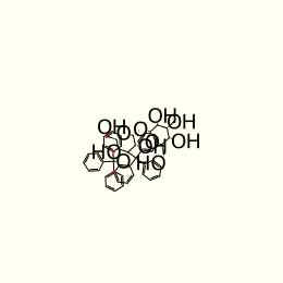 OC[C@H]1O[C@H](O[C@H]2O[C@H](CO)[C@@H](O)[C@@](OC(c3ccccc3)(c3ccccc3)c3ccccc3)(C(c3ccccc3)(c3ccccc3)c3ccccc3)[C@H]2O)[C@H](O)[C@@H](O)[C@@H]1O